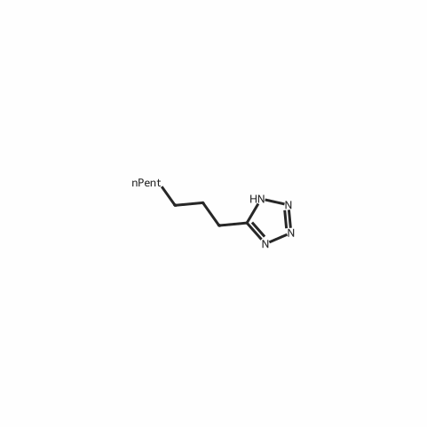 CCCCCCCCc1nnn[nH]1